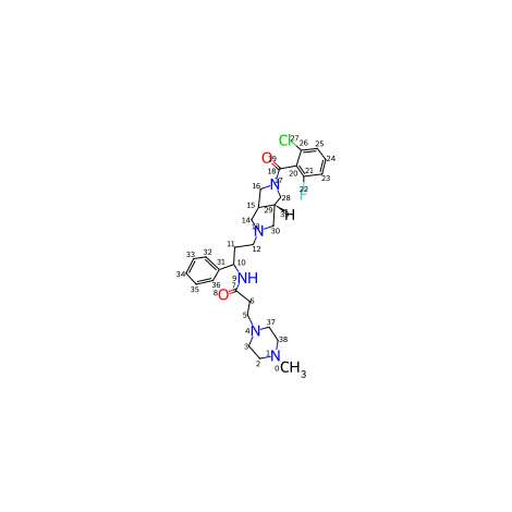 CN1CCN(CCC(=O)NC(CCN2CC3CN(C(=O)c4c(F)cccc4Cl)C[C@@H]3C2)c2ccccc2)CC1